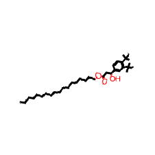 CCCCCCCCCCCCCCCCCCOC(=O)CC(O)c1ccc(C(C)(C)C)c(C(C)(C)C)c1